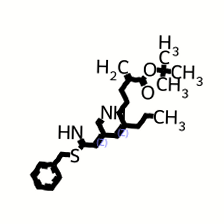 C=C(CCC/C(=C\C(C=N)=C\C(=N)SCc1ccccc1)CCC)C(=O)OC(C)(C)C